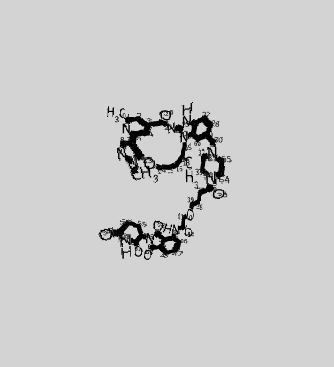 Cc1cc2cc(n1)-c1cnn(C)c1OCCC[C@@H](C)CN1/C(=N/C2=O)Nc2ccc(CN3CCN(C(=O)CCCOCC(=O)Nc4cccc5c4C(=O)N(C4CCC(=O)NC4=O)C5=O)CC3)cc21